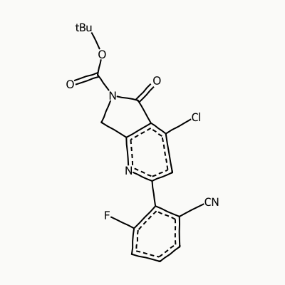 CC(C)(C)OC(=O)N1Cc2nc(-c3c(F)cccc3C#N)cc(Cl)c2C1=O